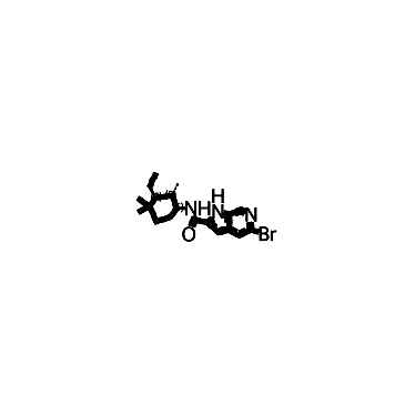 CC[C@H]1[C@H](C)[C@@H](NC(=O)c2cc3cc(Br)ncc3[nH]2)CCC1(C)C